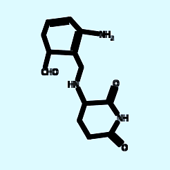 NC1=C(CNC2CCC(=O)NC2=O)C(C=O)CC=C1